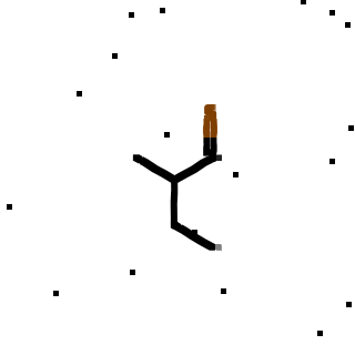 [CH2]CC(C)[C]=S